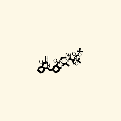 CC1CN(C(=O)c2cc(Cc3n[nH]c(=O)c4ccccc34)ccc2F)Cc2nnc(C3COC(C)(C)N3C(=O)OC(C)(C)C)n21